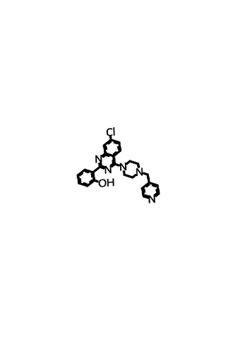 Oc1ccccc1-c1nc(N2CCN(Cc3ccncc3)CC2)c2ccc(Cl)cc2n1